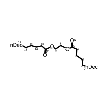 CCCCCCCCCCCCCCC(=O)OCCOC(=O)CCCCCCCCCCCCCC